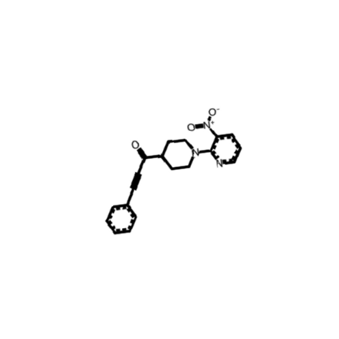 O=C(C#Cc1ccccc1)C1CCN(c2ncccc2[N+](=O)[O-])CC1